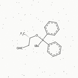 CC(C)(C)[Si](O[C@H](CC=O)C(F)(F)F)(c1ccccc1)c1ccccc1